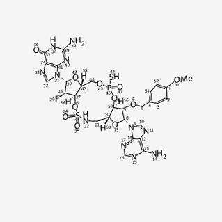 COc1ccc(COC2[C@H](n3cnc4c(N)ncnc43)O[C@@H]3CNS(=O)(=O)O[C@H]4[C@@H](F)[C@H](n5cnc6c(=O)[nH]c(N)nc65)O[C@@H]4CO[P@@](=O)(S)O[C@@H]23)cc1